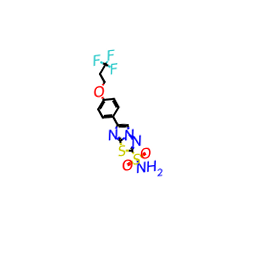 NS(=O)(=O)c1nn2cc(-c3ccc(OCCC(F)(F)F)cc3)nc2s1